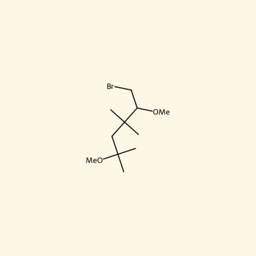 COC(CBr)C(C)(C)CC(C)(C)OC